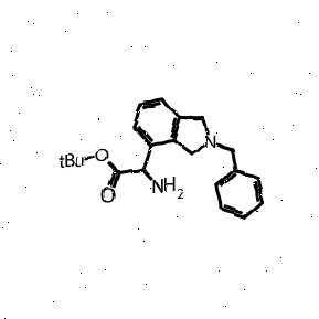 CC(C)(C)OC(=O)C(N)c1cccc2c1CN(Cc1ccccc1)C2